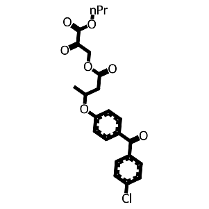 CCCOC(=O)C(=O)COC(=O)CC(C)Oc1ccc(C(=O)c2ccc(Cl)cc2)cc1